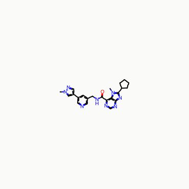 Cn1cc(-c2cncc(CNC(=O)c3ncnc4nc(C5CCCC5)n(C)c34)c2)cn1